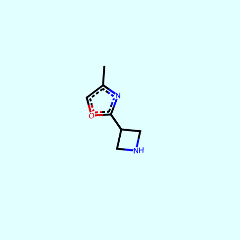 Cc1coc(C2CNC2)n1